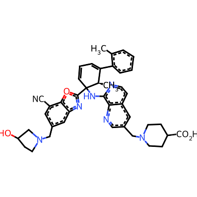 Cc1ccccc1C1=CC=CC(Nc2nccc3cc(CN4CCC(C(=O)O)CC4)cnc23)(c2nc3cc(CN4CCC(O)C4)cc(C#N)c3o2)[C@@H]1C